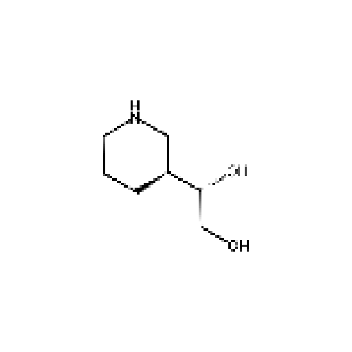 OC[C@@H](O)[C@H]1CCCNC1